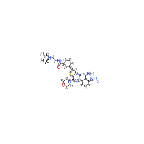 CN(C)CCNC(=O)c1cccc(-c2cc3nc(-c4cccc(N)c4C=N)nc(N4CCOCC4)c3s2)c1